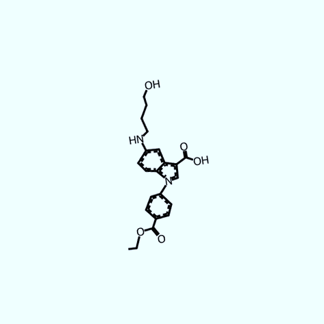 CCOC(=O)c1ccc(-n2cc(C(=O)O)c3cc(NCCCCO)ccc32)cc1